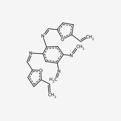 C=Cc1ccc(/C=N\c2cc(N=C)c(N=C)cc2/N=C\c2ccc(C=C)o2)o1